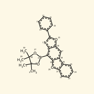 CC1(C)OB(c2c3nc(-c4ccccc4)oc3cc3c2oc2ccccc23)OC1(C)C